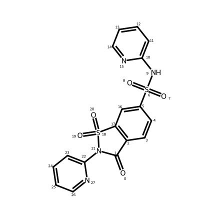 O=C1c2ccc(S(=O)(=O)Nc3ccccn3)cc2S(=O)(=O)N1c1ccccn1